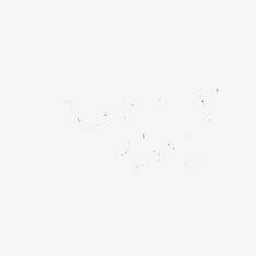 CN(C)N1C=CC=CC1.O=C(O)CCCCCCCCC(=O)O